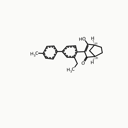 CCc1cc(-c2ccc(C)cc2)ccc1C1=C(O)[C@H]2CC[C@H](C2)C1=O